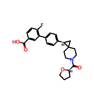 O=C(O)c1ccc(F)c(-c2ccc([C@H]3CC34CCN(C(=O)[C@H]3CCCO3)CC4)cc2)c1